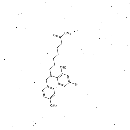 COC(=O)CCCCCCN(Cc1ccc(OC)cc1)c1ccc(Br)cc1C=O